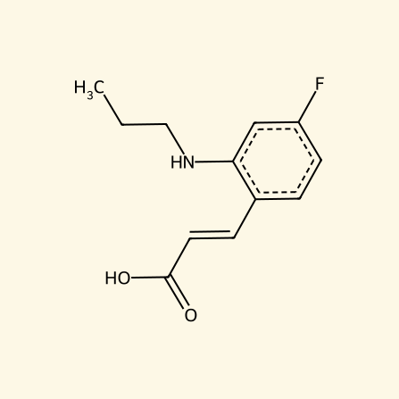 CCCNc1cc(F)ccc1C=CC(=O)O